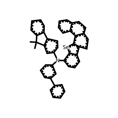 CC1(C)c2ccccc2-c2ccc(N(c3cccc(-c4ccccc4)c3)c3cccc4c3[se]c3c4ccc4ccc5ccccc5c43)cc21